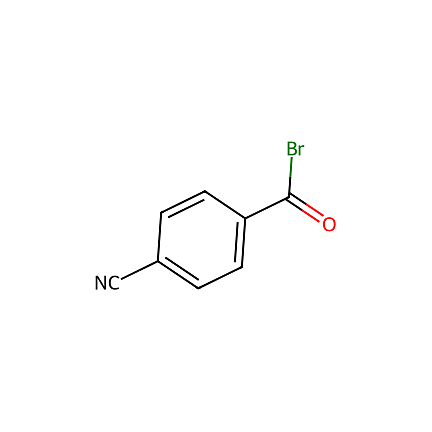 N#Cc1ccc(C(=O)Br)cc1